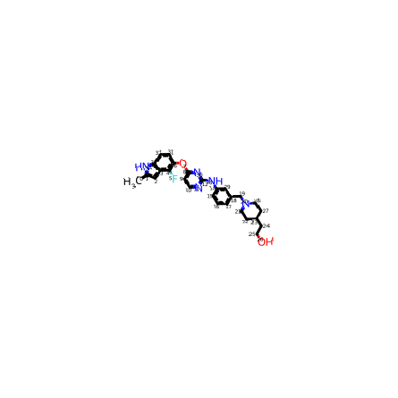 Cc1cc2c(F)c(Oc3ccnc(Nc4cccc(CN5CCC(CCO)CC5)c4)n3)ccc2[nH]1